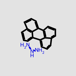 NNN.c1cc2cccc3c4cccc5cccc(c(c1)c23)c54